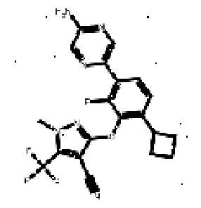 Cn1nc(Oc2c(C3CCC3)ccc(-c3cnc(N)cn3)c2F)c(C#N)c1C(F)(F)F